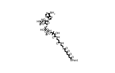 CCCCCC(=O)CC(=O)CC(=O)CC(=O)SCCNC(=O)CCNC(=O)[C@H](O)C(C)(C)COP(=O)(O)OP(=O)(O)OC[C@H]1O[C@@H](n2cnc3c(N)ncnc32)[C@H](O)[C@@H]1OP(=O)(O)O